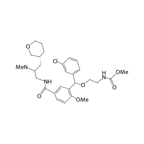 CNC(CNC(=O)c1ccc(OC)c(C(OCCNC(=O)OC)c2cccc(Cl)c2)c1)C[C@H]1CCCOC1